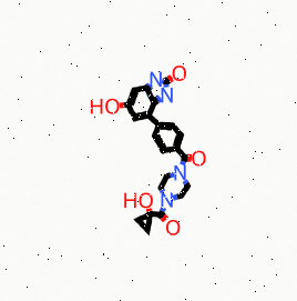 O=C1N=c2cc(O)cc(-c3ccc(C(=O)N4CCN(C(=O)C5(O)CC5)CC4)cc3)c2=N1